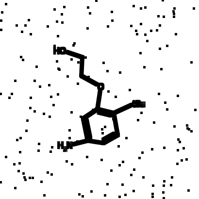 CC(C)(C)c1ccc(N)cc1OCCO